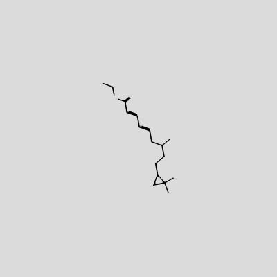 CCOC(=O)C=CC=CCC(C)CCC1CC1(C)C